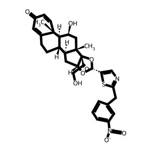 C[C@]12C=CC(=O)C=C1CC[C@@H]1[C@@H]2[C@@H](O)C[C@@]2(C)[C@H]1C[C@H]1O[C@@H](c3cnc(Cc4cccc([N+](=O)[O-])c4)s3)O[C@]12C(=O)CO